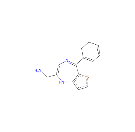 NCC1=CN=C(C2=CC=CCC2)c2sccc2N1